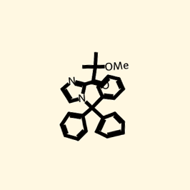 COC(C)(C)C(=O)c1nccn1C(c1ccccc1)(c1ccccc1)c1ccccc1